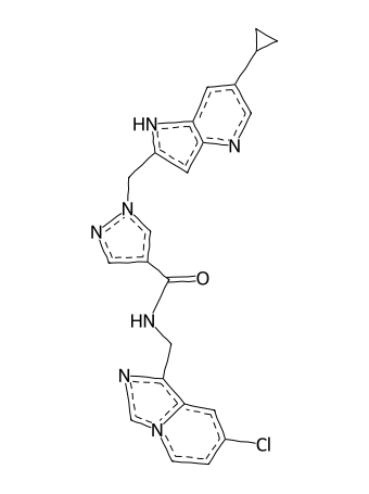 O=C(NCc1ncn2ccc(Cl)cc12)c1cnn(Cc2cc3ncc(C4CC4)cc3[nH]2)c1